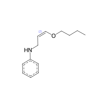 CCCCO/C=C\CNc1ccccc1